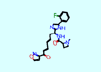 CN1CCC1C(=O)N[C@@H](CCCCCC(=O)c1ccon1)c1ncc(-c2ccccc2F)[nH]1